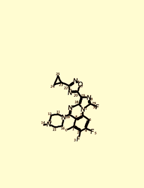 Cc1c(F)c(F)cc2c1c(N1CCN(C)CC1)nc1c(-c3nc(C4CC4)no3)nc(F)n12